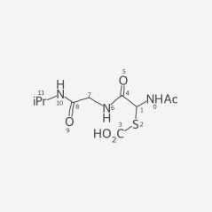 CC(=O)NC(SC(=O)O)C(=O)NCC(=O)NC(C)C